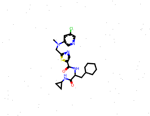 CN(Cc1ncc(C(=O)NC(CC2CCCCC2)C(=O)NC2CC2)s1)c1cncc(Cl)c1